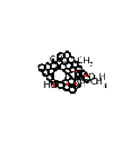 Cc1cc2c3c4c5c6c7c8c9c%10c%11c%12c(ccc%11cc9c(C)c7cc5cc3c1)C=CC1C3=C5C7=C9CC%11C5=c5c(cc%13c%14c(cc%15cc%16cc%17cc%18cc%19ccc%20c(O)c%19c%19c%21cc%22c(c%23c%21c(c(c%17c(O)c%16c%11c%15c5%14)c%18%19)CC5=C9C(=C8C6C=%235)C%10C75OC%1215)C4c1c-2cc(C(=O)O)c(c1-%22)C/C=C\%20)=CCC%13)C3C